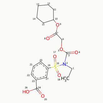 CCN(C(=O)OCC(=O)OC1CCCCC1)S(=O)(=O)c1cccc(C(=O)O)c1